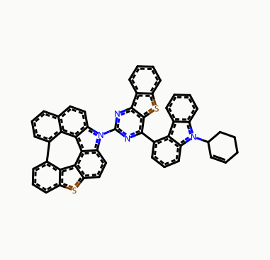 C1=CC(n2c3ccccc3c3c(-c4nc(-n5c6ccc7cccc8c7c6c6c7c(ccc65)sc5cccc-8c57)nc5c4sc4ccccc45)cccc32)CCC1